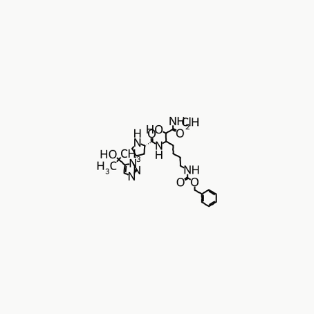 CC(C)(O)c1cnnn1[C@@H]1CN[C@H](C(=O)NC(CCCCNC(=O)OCc2ccccc2)C(O)C(N)=O)C1.Cl